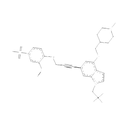 COc1cc(S(C)(=O)=O)ccc1NCC#Cc1cc(NCC2CCN(C)CC2)c2ccn(CC(F)(F)F)c2c1